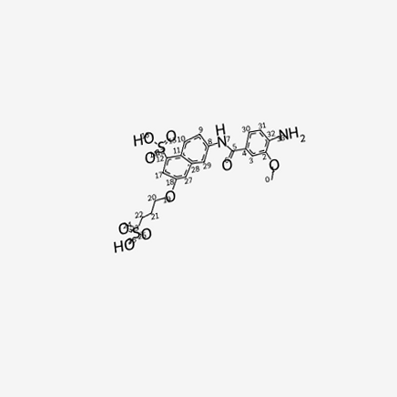 COc1cc(C(=O)Nc2ccc3c(S(=O)(=O)O)cc(OCCCS(=O)(=O)O)cc3c2)ccc1N